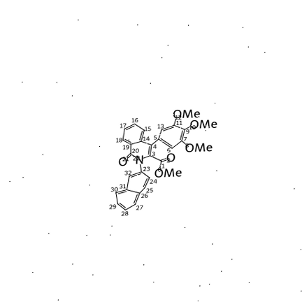 COC(=O)c1c(-c2cc(OC)c(OC)c(OC)c2)c2ccccc2c(=O)n1-c1ccc2ccccc2c1